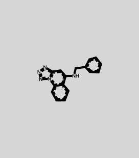 c1ccc(CNc2cc3nnnn3c3ccccc23)cc1